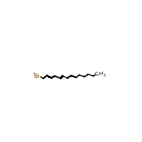 CCCCC/C=C/C/C=C/C/C=C/CBr